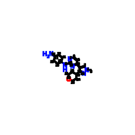 Cn1cc(-c2ccnc(N[C@H]3CC[C@H](N)CC3)n2)c(C2CCOCC2)n1